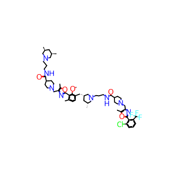 COc1c(C[C@H]2C[C@@H](C)CN(CCCNC(=O)C3CCN(Cc4nc(-c5c(Cl)cccc5C(F)(F)F)oc4C)CC3)C2)ccc(C)c1-c1nc(CN2CCC(C(=O)NCCCN3C[C@H](C)C[C@H](C)C3)CC2)c(C)o1